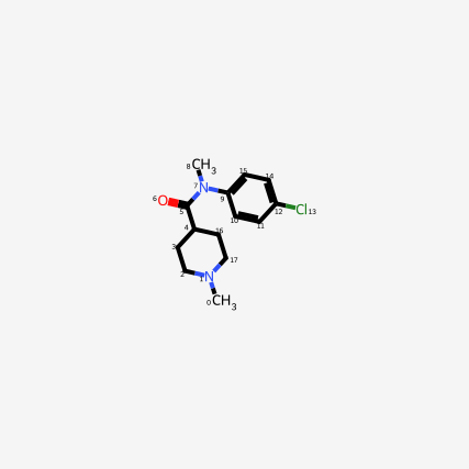 CN1CCC(C(=O)N(C)c2ccc(Cl)cc2)CC1